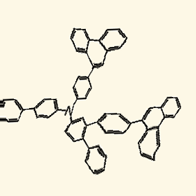 c1ccc(-c2ccc(N(c3ccc(-c4cc5ccccc5c5ccccc45)cc3)c3ccc(-c4ccccc4)c(-c4ccc(-c5cc6ccccc6c6ccccc56)cc4)c3)cc2)cc1